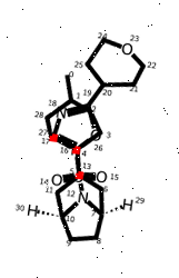 CC1CCN(C2C[C@H]3CC[C@@H](C2)N3S(=O)(=O)c2cnc(C3CCOCC3)o2)CC1